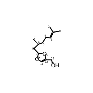 CC(C)=CCC[C@H](C)CC1OC=C(CO)O1